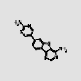 Nc1ncc(-c2ccc3c(c2)sc2c(N)ncnc23)cn1